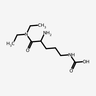 CCN(CC)C(=O)C(N)CCCNC(=O)O